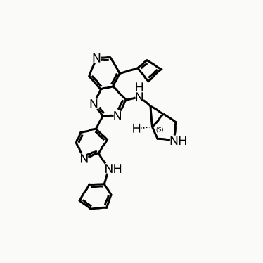 C1=CC(c2cncc3nc(-c4ccnc(Nc5ccccc5)c4)nc(NC4C5CNC[C@H]54)c23)=C1